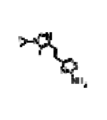 Cc1c(/C=C/c2csc(N)n2)ncn1C1CC1